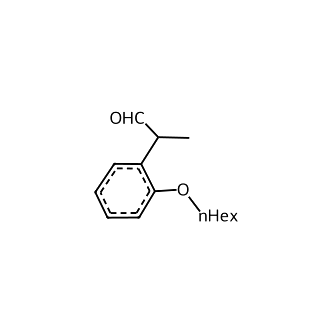 CCCCCCOc1ccccc1C(C)C=O